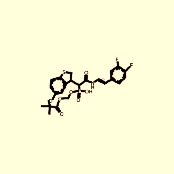 CC(C)(C)C(=O)OCOP(=O)(O)C(C(=O)N/C=C/c1ccc(F)c(F)c1)C1CSc2ccc(Cl)cc21